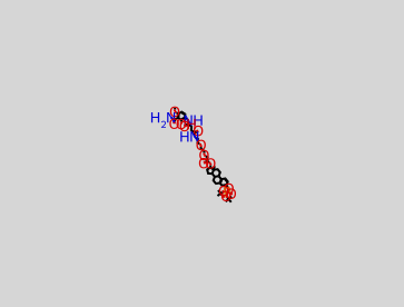 COc1ccc(NC(=O)CCC(=O)NCCOCCOCC(=O)OC2CCC3C4CCc5cc(OP(=O)(OC(C)(C)C)OC(C)(C)C)ccc5C4CCC23C)c(O)c1C(N)=O